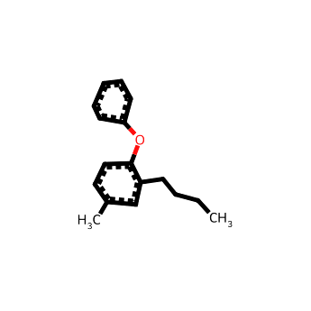 CCCCc1cc(C)ccc1Oc1ccccc1